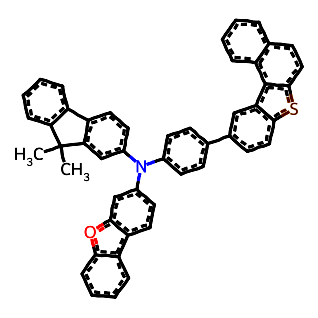 CC1(C)c2ccccc2-c2ccc(N(c3ccc(-c4ccc5sc6ccc7ccccc7c6c5c4)cc3)c3ccc4c(c3)oc3ccccc34)cc21